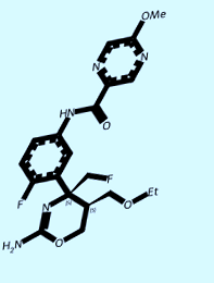 CCOC[C@H]1COC(N)=N[C@]1(CF)c1cc(NC(=O)c2cnc(OC)cn2)ccc1F